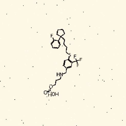 O=[PH](O)OCCCNCc1ccc(SCCCCC2(c3ccccc3F)CCCC2)c(C(F)(F)F)c1